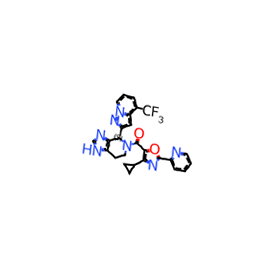 O=C(c1oc(-c2ccccn2)nc1C1CC1)N1CCc2[nH]cnc2[C@H]1c1cc2c(C(F)(F)F)cccn2n1